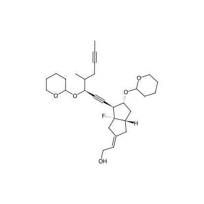 CC#CCC(C)[C@@H](C#C[C@H]1[C@H](OC2CCCCO2)C[C@@H]2C/C(=C/CO)C[C@]21F)OC1CCCCO1